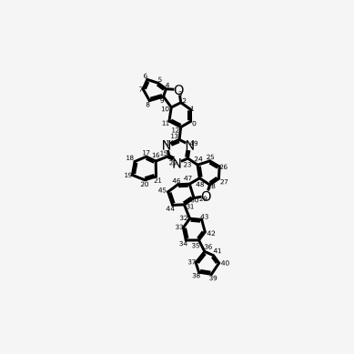 C1=CC2Oc3ccccc3C2C=C1c1nc(-c2ccccc2)nc(-c2cccc3oc4c(-c5ccc(-c6ccccc6)cc5)cccc4c23)n1